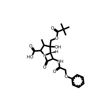 CC1C(C(=O)O)N2C(=O)C(NC(=O)COc3ccccc3)[C@H]2C1(O)COC(=O)C(C)(C)C